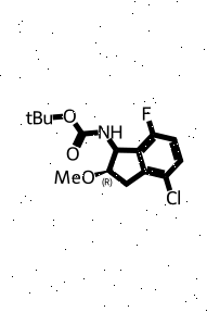 CO[C@@H]1Cc2c(Cl)ccc(F)c2C1NC(=O)OC(C)(C)C